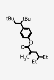 C=C(CC(CC)CC)C(=O)Oc1ccc(C(CC(C)(C)C)C(C)(C)C)cc1